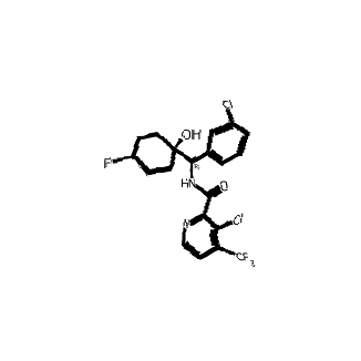 O=C(N[C@H](c1cccc(Cl)c1)[C@]1(O)CC[C@@H](F)CC1)c1nccc(C(F)(F)F)c1Cl